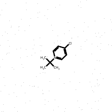 CC(C)(C)[n+]1ccc(Cl)cc1